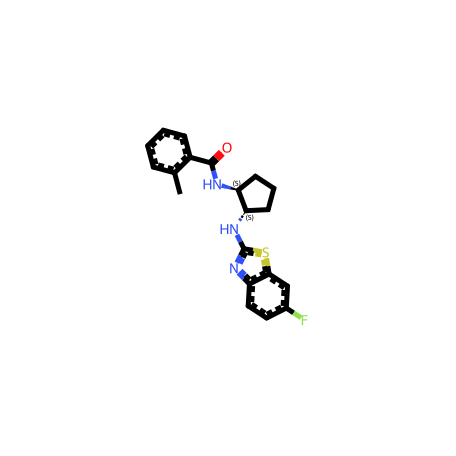 Cc1ccccc1C(=O)N[C@H]1CCC[C@@H]1Nc1nc2ccc(F)cc2s1